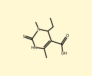 CCC1C(C(=O)O)=C(C)NC(=S)N1C